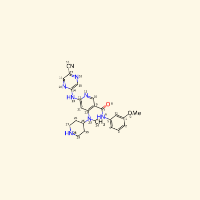 COc1cccc(NC(=O)c2cnc(Nc3cnc(C#N)cn3)cc2N(C)C2CCNCC2)c1